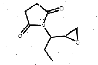 CCC(C1CO1)N1C(=O)CCC1=O